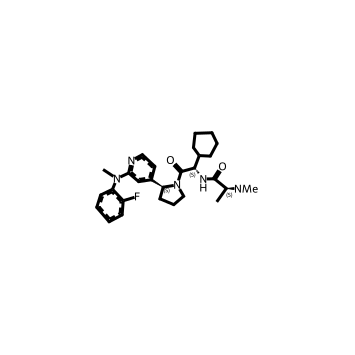 CN[C@@H](C)C(=O)N[C@H](C(=O)N1CCC[C@H]1c1ccnc(N(C)c2ccccc2F)c1)C1CCCCC1